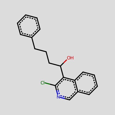 OC(CCCc1ccccc1)c1c(Cl)ncc2ccccc12